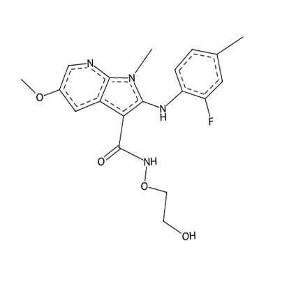 COc1cnc2c(c1)c(C(=O)NOCCO)c(Nc1ccc(C)cc1F)n2C